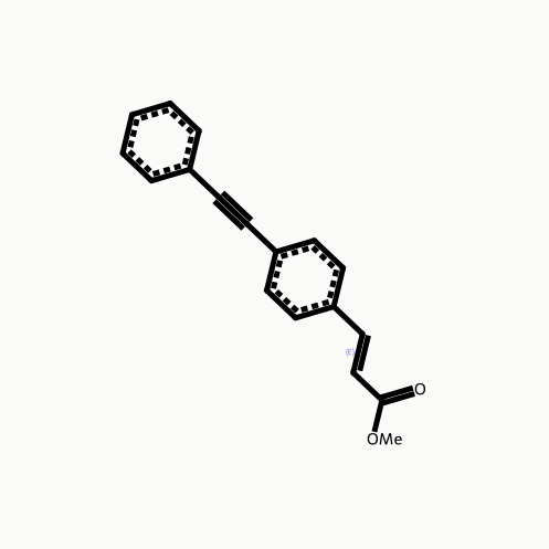 COC(=O)/C=C/c1ccc(C#Cc2ccccc2)cc1